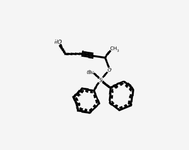 CC(C#CCO)O[Si](c1ccccc1)(c1ccccc1)C(C)(C)C